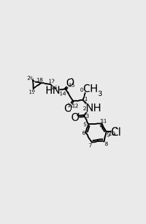 CC(NC(=O)c1cccc(Cl)c1)C(=O)C(=O)NCC1CC1